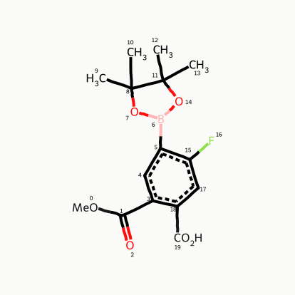 COC(=O)c1cc(B2OC(C)(C)C(C)(C)O2)c(F)cc1C(=O)O